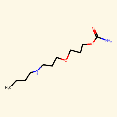 CCCCNCCCOCCCOC(N)=O